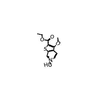 CCOC(=O)c1sc2c[n+](O)ccc2c1OC